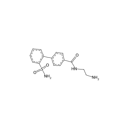 NCCNC(=O)c1ccc(-c2ccccc2S(N)(=O)=O)cc1